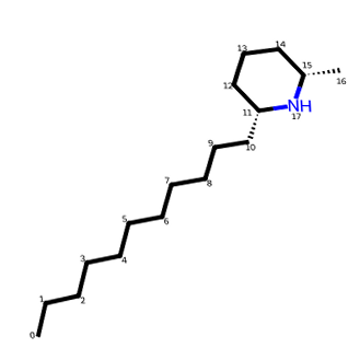 CCCCCCCCCCC[C@@H]1CCC[C@H](C)N1